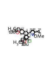 COc1nc(C(=CC2CCC(O[Si](C)(C)C(C)(C)C)CC2)c2ccc(O[Si](C)(C)C(C)(C)C)c(Cl)c2)ccc1C1CC1